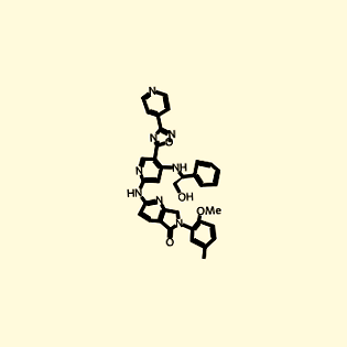 COc1ccc(C)cc1N1Cc2nc(Nc3cc(N[C@H](CO)c4ccccc4)c(-c4nc(-c5ccncc5)no4)cn3)ccc2C1=O